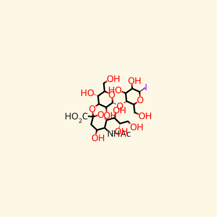 CC(=O)NC1C(O)CC(OC2C(O)[C@@H](O[C@H]3C(CO)O[C@H](I)C(O)C3O)OC(CO)[C@H]2O)(C(=O)O)O[C@@H]1[C@@H](O)[C@@H](O)CO